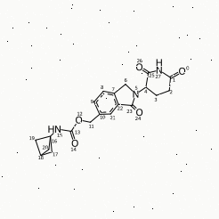 O=C1CCC(N2Cc3ccc(COC(=O)NC45CC(C4)C5)cc3C2=O)C(=O)N1